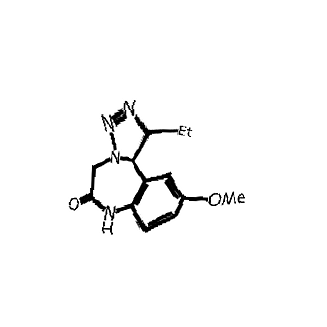 CCC1N=NN2CC(=O)Nc3ccc(OC)cc3C12